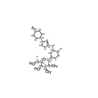 Cc1ccc([C@@H]2O[C@H]([C@@H](C)O)[C@@H](O)[C@H](O)[C@H]2O)cc1Cc1ccc(-c2ccc(F)cc2)s1